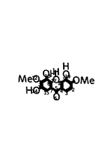 COc1ccc(C(=O)c2cc(O)c(OC)c(O)c2)c(O)c1O